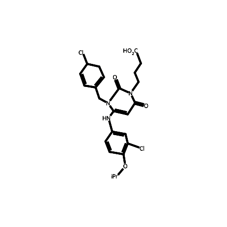 CC(C)Oc1ccc(Nc2cc(=O)n(CCCC(=O)O)c(=O)n2CC2=CCC(Cl)C=C2)cc1Cl